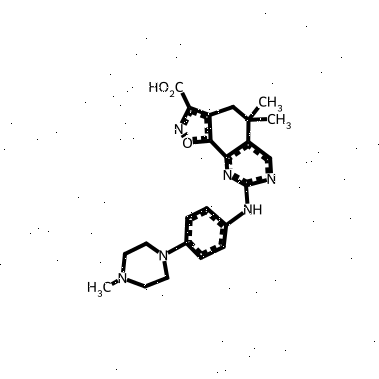 CN1CCN(c2ccc(Nc3ncc4c(n3)-c3onc(C(=O)O)c3CC4(C)C)cc2)CC1